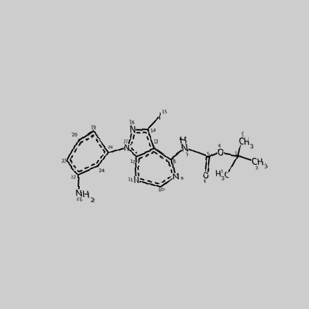 CC(C)(C)OC(=O)Nc1ncnc2c1c(I)nn2-c1cccc(N)c1